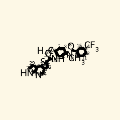 Cc1ccc(N(C)C(=O)c2cccc(C(F)(F)F)c2)cc1NC(=O)c1cc2cnc3[nH]ccc3c2s1